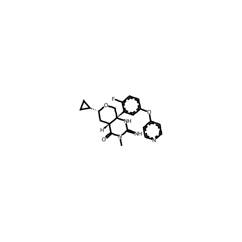 CN1C(=N)N[C@@]2(c3cc(Oc4ccncc4)ccc3F)CO[C@@H](C3CC3)C[C@H]2C1=O